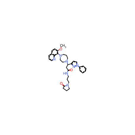 COc1ccc2cccnc2c1N1CCCN(C(CC(=O)NCCCN2CCCC2=O)c2ccn(-c3ccccc3)n2)CC1